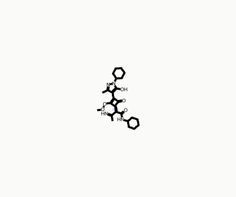 COOC1=C(c2c(C)nn(C3CCCCC3)c2O)C(=O)/C1=C(/C(C)=N)C(=O)NC1CCCCC1